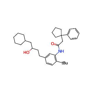 CC(C)(C)c1ccc(CCC(O)CC2CCCCC2)cc1NC(=O)CC1(c2ccccc2)CCCC1